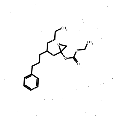 CCCCC(CCCc1ccccc1)CC1(OC(=O)OCC)CO1